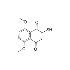 COc1ccc(OC)c2c1C(=O)C=C(S)C2=O